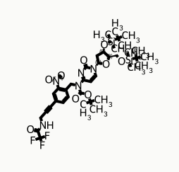 CC(C)(C)OC(=O)N(Cc1ccc(C#CCNC(=O)C(F)(F)F)cc1[N+](=O)[O-])c1ccn([C@H]2C[C@@H](O[Si](C)(C)C(C)(C)C)[C@@H](CO[Si](C)(C)C(C)(C)C)O2)c(=O)n1